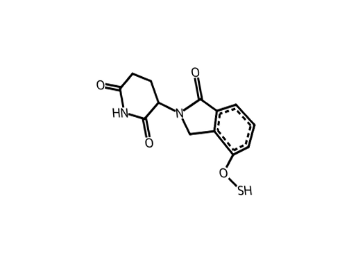 O=C1CCC(N2Cc3c(OS)cccc3C2=O)C(=O)N1